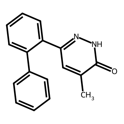 Cc1cc(-c2ccccc2-c2ccccc2)n[nH]c1=O